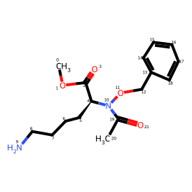 COC(=O)[C@H](CCCCN)N(OCc1ccccc1)C(C)=O